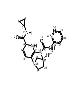 O=C(NC1CC1)C1C=CC2=C(N1)N(C(=O)Nc1cccnn1)[C@H]1CCN2C1